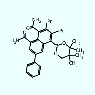 CC(C)c1c(C(C)C)c(C(N)=O)c2c(C(N)=O)cc(-c3ccccc3)cc2c1B1OCC(C)(C)C(C)(C)O1